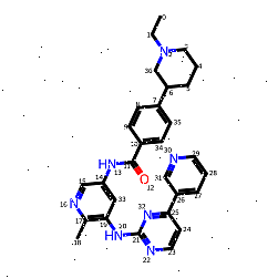 CCN1CCCC(c2ccc(C(=O)Nc3cnc(C)c(Nc4nccc(-c5cccnc5)n4)c3)cc2)C1